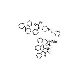 CCC(=O)N(c1ccccc1)C1CCN(CCc2ccccc2)CC1.CN[C@@H](C)Cc1ccccc1.O=C1NC(=O)C(c2ccccc2)(c2ccccc2)N1.c1ccc(C2(N3CCCCC3)CCCCC2)cc1